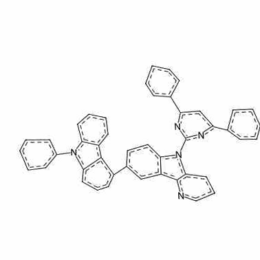 c1ccc(-c2cc(-c3ccccc3)nc(-n3c4ccc(-c5cccc6c5c5ccccc5n6-c5ccccc5)cc4c4ncccc43)n2)cc1